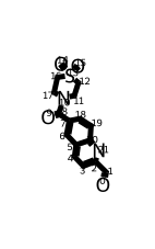 O=Cc1ccc2cc(C(=O)N3CCS(=O)(=O)CC3)ccc2n1